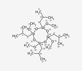 CO[Si]1(CC(C)C)O[Si](CC(C)C)(OC)O[Si](CC(C)C)(OC)O[Si](CC(C)C)(OC)O1